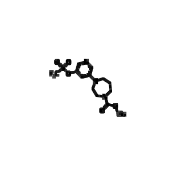 CC(C)(C)OC(=O)N1CCCN(c2cncc(OS(=O)(=O)C(F)(F)F)c2)CC1